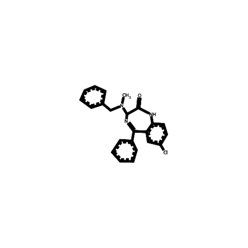 CN(Cc1ccccc1)C1N=C(c2ccccc2)c2cc(Cl)ccc2NC1=O